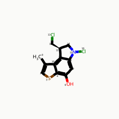 Cc1csc2c(O)cc3c(c12)[C@@H](CCl)CN3Cl